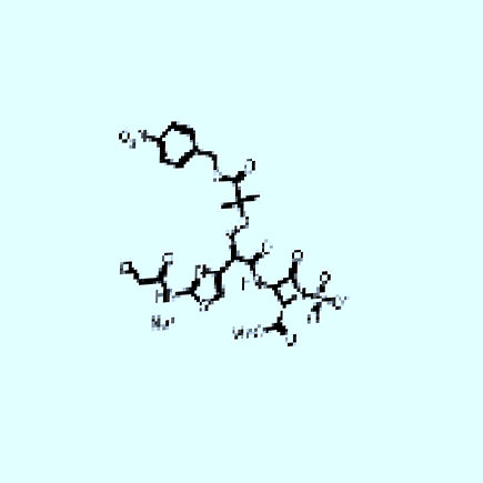 COC(=O)[C@H]1[C@@H](NC(=O)/C(=N\OC(C)(C)C(=O)OCc2ccc([N+](=O)[O-])cc2)c2csc(NC(=O)CCl)n2)C(=O)N1S(=O)(=O)[O-].[Na+]